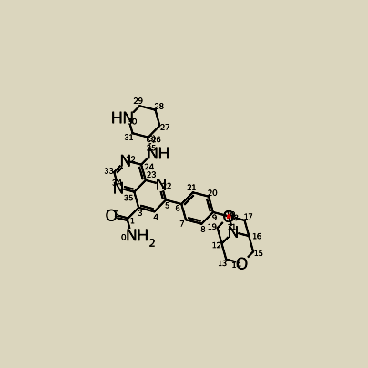 NC(=O)c1cc(-c2ccc(CN3C4COCC3COC4)cc2)nc2c(N[C@H]3CCCNC3)ncnc12